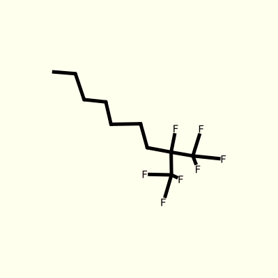 CCCCCCCC(F)(C(F)(F)F)C(F)(F)F